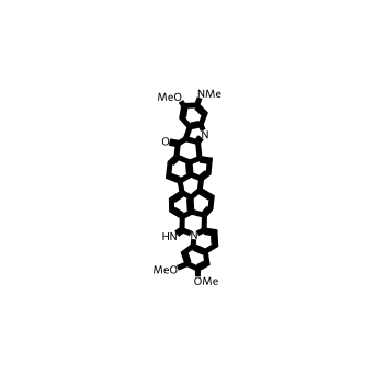 CNc1cc2c(cc1OC)C1C(=O)c3ccc4c5ccc6c(=N)n7c(c8ccc(c9ccc(c3c49)C1=N2)c5c68)=C=Cc1cc(OC)c(OC)cc1-7